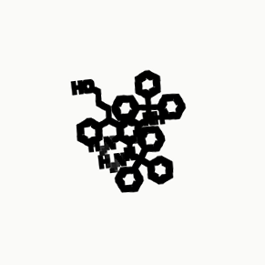 Nc1c(C(CCCO)c2ccccc2)cc(NC(c2ccccc2)(c2ccccc2)c2ccccc2)nc1N(N)C(c1ccccc1)(c1ccccc1)c1ccccc1